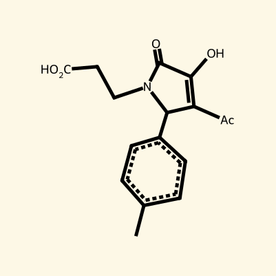 CC(=O)C1=C(O)C(=O)N(CCC(=O)O)C1c1ccc(C)cc1